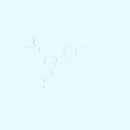 C=C(CO)C(=O)Oc1cc(OC(=O)/C(=C/C)CO)cc(-c2ccc(CCCCC)cc2C)c1